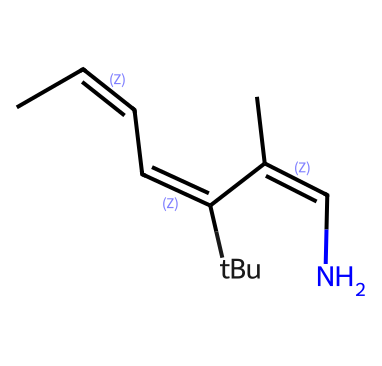 C\C=C/C=C(\C(C)=C/N)C(C)(C)C